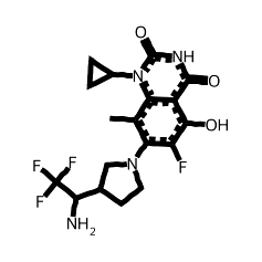 Cc1c(N2CCC(C(N)C(F)(F)F)C2)c(F)c(O)c2c(=O)[nH]c(=O)n(C3CC3)c12